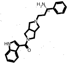 N[C@@H](CCN1CC2CN(C(=O)c3c[nH]c4ccccc34)CC2C1)c1ccccc1